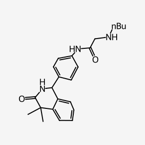 CCCCNCC(=O)Nc1ccc(C2NC(=O)C(C)(C)c3ccccc32)cc1